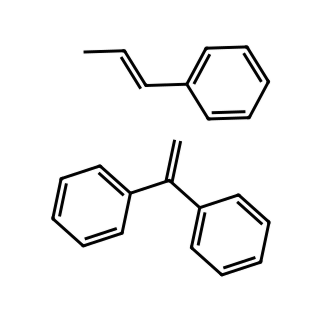 C=C(c1ccccc1)c1ccccc1.CC=Cc1ccccc1